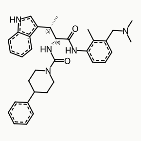 Cc1c(CN(C)C)cccc1NC(=O)[C@H](NC(=O)N1CCC(c2ccccc2)CC1)[C@@H](C)c1c[nH]c2ccccc12